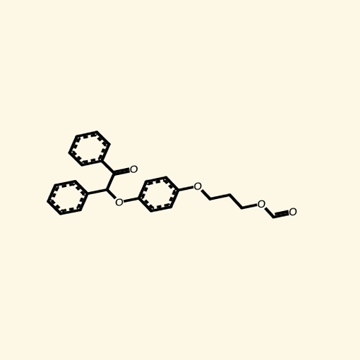 O=COCCCOc1ccc(OC(C(=O)c2ccccc2)c2ccccc2)cc1